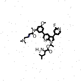 COc1cc(-c2cnc3c(c2)c(-c2ccnc(F)c2)cn3C(C)OC(=O)[C@@H](N)CC(C)C)cc(N(C)C(=O)/C=C/CN(C)C)c1